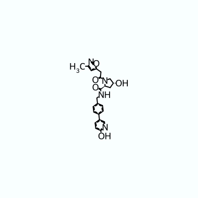 Cc1cc(CC(=O)N2C[C@H](O)C[C@H]2C(=O)NCc2ccc(-c3ccc(O)nc3)cc2)on1